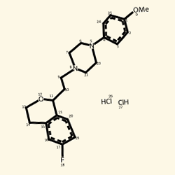 COc1ccc(N2CCN(CCC3OCCc4cc(F)ccc43)CC2)cc1.Cl.Cl